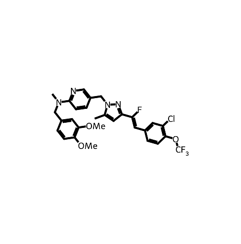 COc1ccc(CN(C)c2ccc(Cn3nc(C(F)=Cc4ccc(OC(F)(F)F)c(Cl)c4)cc3C)cn2)cc1OC